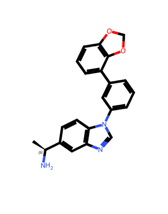 C[C@H](N)c1ccc2c(c1)ncn2-c1cccc(-c2cccc3c2OCO3)c1